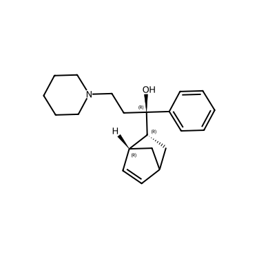 O[C@@](CCN1CCCCC1)(c1ccccc1)[C@@H]1CC2C=C[C@H]1C2